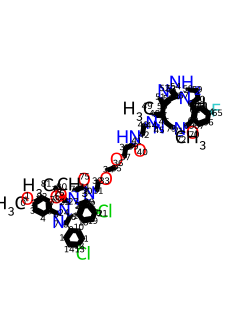 COc1ccc(C2=N[C@@H](c3ccc(Cl)cc3)[C@@H](c3ccc(Cl)cc3)N2C(=O)N2CCN(CCOCCOCCC(=O)NCCn3nc4c(c3C)-c3cnc(N)c(c3)N3CCC[C@@H]3c3cc(F)ccc3C(=O)N(C)C4)C(=O)C2)c(OC(C)C)c1